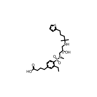 CCc1cc(CCCC(=O)O)ccc1S(=O)(=O)N(C)C[C@H](O)CNC(C)(C)CCCc1cccs1